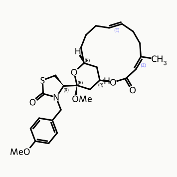 COc1ccc(CN2C(=O)SC[C@H]2[C@@]2(OC)C[C@H]3C[C@@H](CCC/C=C/CC/C(C)=C\C(=O)O3)O2)cc1